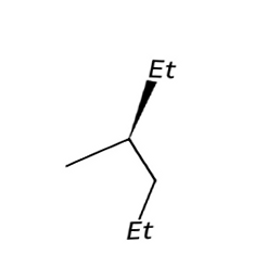 [CH2]C[C@H](C)CCC